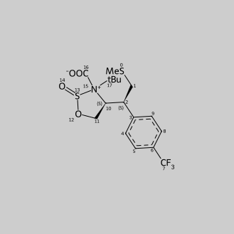 CSC[C@@H](c1ccc(C(F)(F)F)cc1)[C@H]1COS(=O)[N+]1(C(=O)[O-])C(C)(C)C